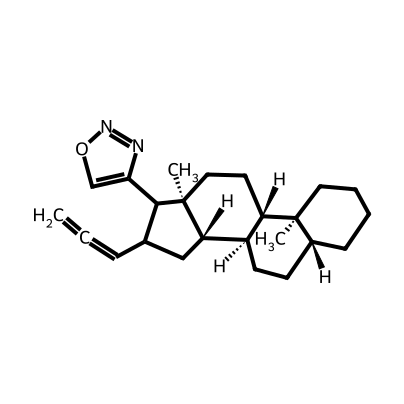 C=C=CC1C[C@H]2[C@@H]3CC[C@H]4CCCC[C@]4(C)[C@H]3CC[C@]2(C)C1c1conn1